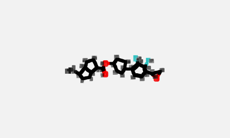 CCCC1CCC2C(C(=O)OC3CCC(c4ccc(C5CO5)c(F)c4F)CC3)CCC12